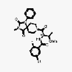 CCc1ccc(F)c(C(=O)N[C@@H](C(=O)N2CCC3(CC2)C(=O)N(C)C(=O)N3c2ccccc2)C(C)OC)c1